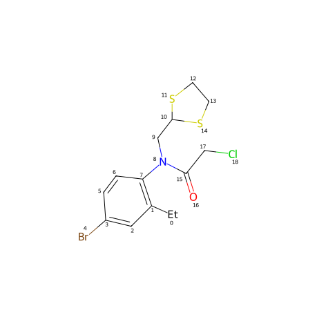 CCc1cc(Br)ccc1N(CC1SCCS1)C(=O)CCl